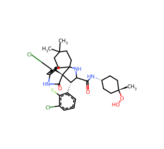 CC1(C)CCC2(CC1)NC(C(=O)N[C@H]1CC[C@@](C)(OO)CC1)[C@H](c1cccc(Cl)c1F)[C@]21C(=O)Nc2cc(Cl)ccc21